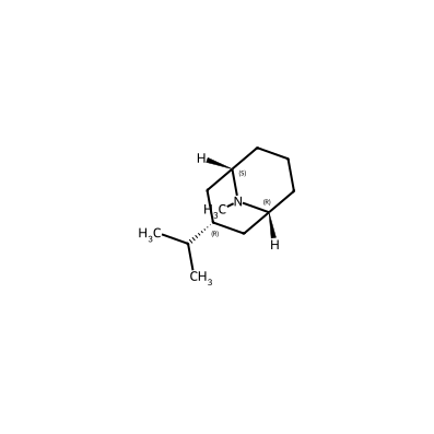 CC(C)[C@H]1C[C@H]2CCC[C@@H](C1)N2C